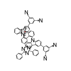 N#Cc1cc(C#N)cc(-c2ccc3c(c2)c2ccccc2n3-c2ccc(-c3nc(-c4ccccc4)nc(-c4ccccc4)n3)cc2-c2c(-n3c4ccccc4c4cc(-c5cc(C#N)cc(C#N)c5)ccc43)cccc2C(F)(F)F)c1